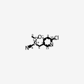 CS([O-])=[N+](C#N)Cc1ccc(Cl)nc1